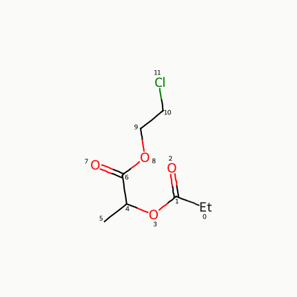 CCC(=O)OC(C)C(=O)OCCCl